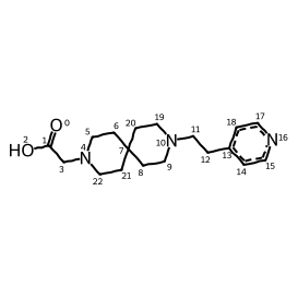 O=C(O)CN1CCC2(CCN(CCc3ccncc3)CC2)CC1